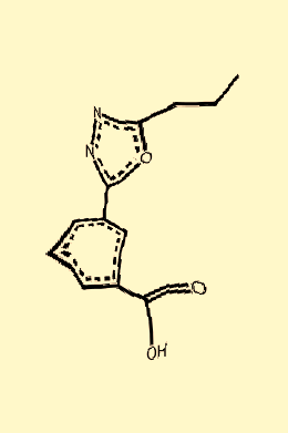 CCCc1nnc(-c2cccc(C(=O)O)c2)o1